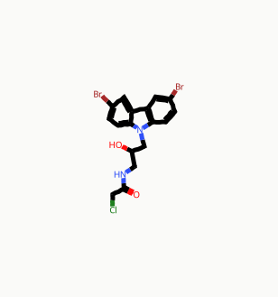 O=C(CCl)NCC(O)Cn1c2ccc(Br)cc2c2cc(Br)ccc21